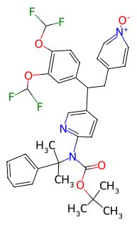 CC(C)(C)OC(=O)N(c1ccc(C(Cc2cc[n+]([O-])cc2)c2ccc(OC(F)F)c(OC(F)F)c2)cn1)C(C)(C)c1ccccc1